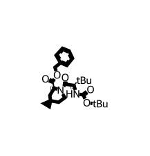 CC(C)(C)OC(=O)N[C@H](C(=O)N1CCC2(CC2)C[C@H]1C(=O)OCc1ccccc1)C(C)(C)C